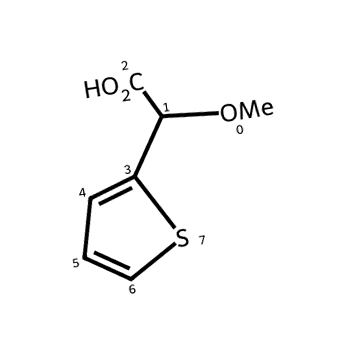 COC(C(=O)O)c1cccs1